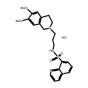 COc1cc2c(cc1OC)CN(CCCNS(=O)(=O)c1cccc3cccnc13)CC2.Cl